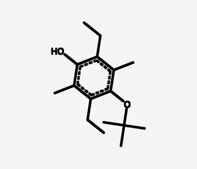 CCc1c(C)c(OC(C)(C)C)c(CC)c(C)c1O